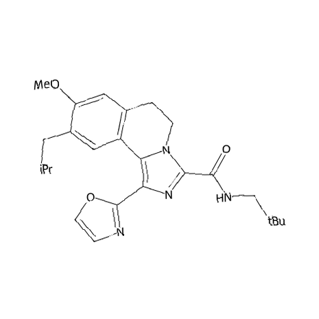 COc1cc2c(cc1CC(C)C)-c1c(-c3ncco3)nc(C(=O)NCC(C)(C)C)n1CC2